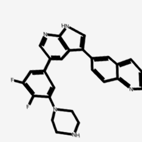 Fc1cc(-c2cnc3[nH]cc(-c4ccc5ncccc5c4)c3c2)cc(N2CCNCC2)c1F